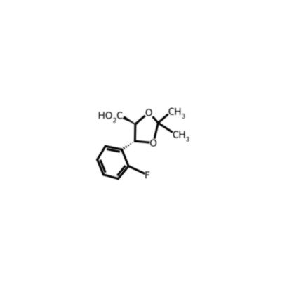 CC1(C)O[C@H](C(=O)O)[C@@H](c2ccccc2F)O1